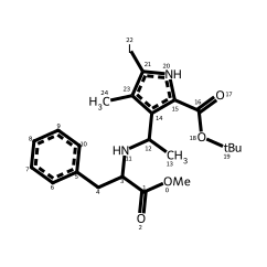 COC(=O)C(Cc1ccccc1)NC(C)c1c(C(=O)OC(C)(C)C)[nH]c(I)c1C